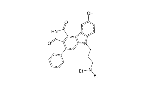 CCN(CC)CCCn1c2ccc(O)cc2c2c3c(c(-c4ccccc4)cc21)C(=O)NC3=O